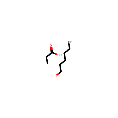 CC(C)CCCCCO.CCC(=O)O